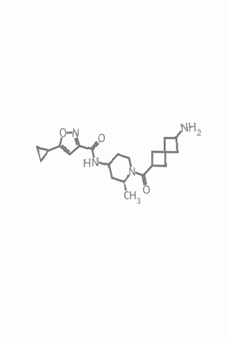 C[C@H]1CC(NC(=O)c2cc(C3CC3)on2)CCN1C(=O)C1CC2(CC(N)C2)C1